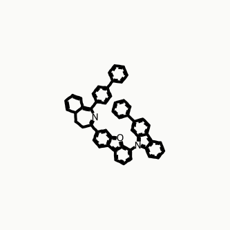 C1=CC2=C(c3ccc(-c4ccccc4)cc3)N=C(c3ccc4c(c3)oc3c(-n5c6ccccc6c6ccc(-c7ccccc7)cc65)cccc34)CCC2C=C1